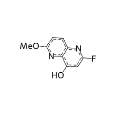 COc1ccc2nc(F)cc(O)c2n1